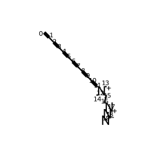 C#CC#CC#CC#CC#CC#C[N+](C)(C)CCN=[N+]=[N-]